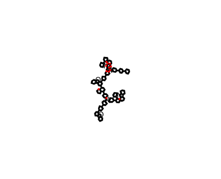 c1ccc(-c2ccc(-c3ccc(N(c4ccc(-c5ccc(-c6cc(-c7ccc(-c8ccc(N(c9ccc(-c%10ccc(-c%11cccc%12c%11oc%11ccccc%11%12)cc%10)cc9)c9ccc(-c%10ccccc%10-c%10ccccc%10-n%10c%11ccccc%11c%11ccccc%11%10)cc9)cc8)c8ccccc78)cc7c6oc6ccccc67)cc5)cc4)c4ccc(-c5ccccc5-c5ccccc5-n5c6ccccc6c6ccccc65)cc4)cc3)cc2)cc1